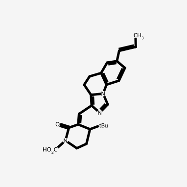 CC=Cc1ccc2c(c1)CCc1c(C=C3C(=O)N(C(=O)O)CCC3C(C)(C)C)ncn1-2